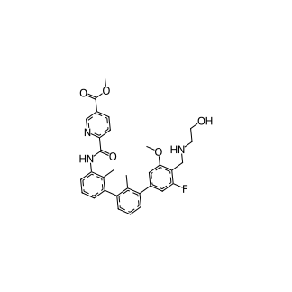 COC(=O)c1ccc(C(=O)Nc2cccc(-c3cccc(-c4cc(F)c(CNCCO)c(OC)c4)c3C)c2C)nc1